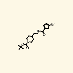 CC(C)(C)OC(=O)N1CCC(CCNC(=O)C2=CC=C(Br)C2)CC1